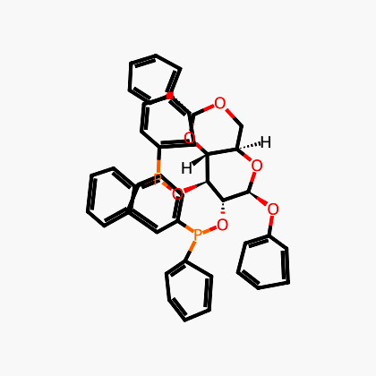 c1ccc(O[C@@H]2O[C@@H]3CO[C@@H](c4ccccc4)O[C@H]3[C@H](OP(c3ccccc3)c3ccccc3)[C@H]2OP(c2ccccc2)c2ccccc2)cc1